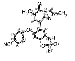 CCS(=O)(=O)Nc1ccc(Oc2ccc(C#N)cn2)c(-c2cn(C)c(=O)c3cn(C)nc23)c1